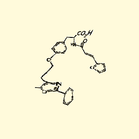 Cc1oc(-c2ccccc2)nc1CCOc1ccc(C[C@H](NC(=O)/C=C/c2ccco2)C(=O)O)cc1